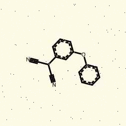 N#CC(C#N)c1cccc(Oc2ccccc2)c1